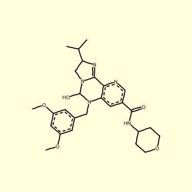 COc1cc(CN2c3cc(C(=O)NC4CCOCC4)cnc3C3=NC(C(C)C)CN3C2O)cc(OC)c1